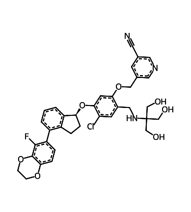 N#Cc1cncc(COc2cc(O[C@H]3CCc4c(-c5ccc6c(c5F)OCCO6)cccc43)c(Cl)cc2CNC(CO)(CO)CO)c1